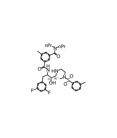 CCCN(CCC)C(=O)c1cc(C)cc(C(=O)NC(Cc2cc(F)cc(F)c2)[C@H](O)[C@H]2CN(S(=O)(=O)c3cccc(C)c3)CCN2)c1